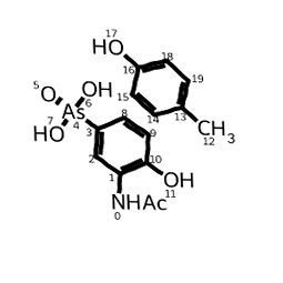 CC(=O)Nc1cc([As](=O)(O)O)ccc1O.Cc1ccc(O)cc1